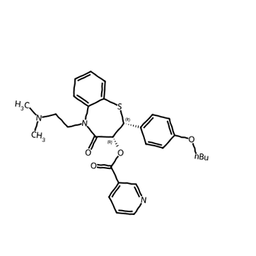 CCCCOc1ccc([C@H]2Sc3ccccc3N(CCN(C)C)C(=O)[C@H]2OC(=O)c2cccnc2)cc1